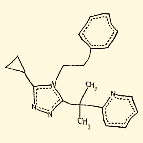 CC(C)(c1ccccn1)c1nnc(C2CC2)n1CCc1ccccc1